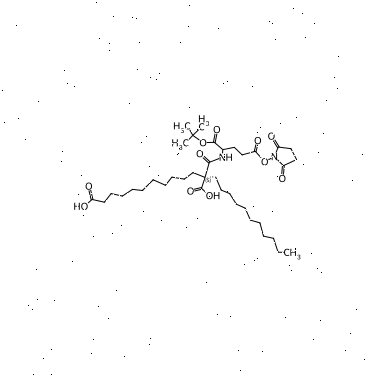 CCCCCCCCCCC[C@@](CCCCCCCCCCC(=O)O)(C(=O)O)C(=O)NC(CCC(=O)ON1C(=O)CCC1=O)C(=O)OC(C)(C)C